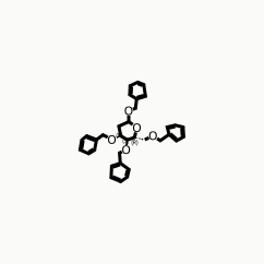 c1ccc(COC[C@H]2OC(OCc3ccccc3)C[C@@H](OCc3ccccc3)[C@@H]2OCc2ccccc2)cc1